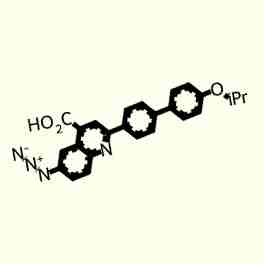 CC(C)Oc1ccc(-c2ccc(-c3cc(C(=O)O)c4cc(N=[N+]=[N-])ccc4n3)cc2)cc1